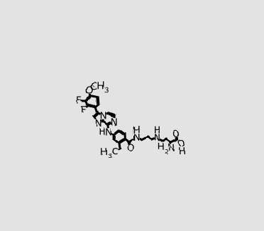 CCc1cc(Nc2nccn3c(-c4ccc(OC)c(F)c4F)cnc23)ccc1C(=O)NCCCNCC[C@H](N)C(=O)O